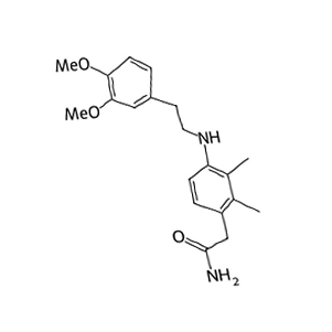 COc1ccc(CCNc2ccc(CC(N)=O)c(C)c2C)cc1OC